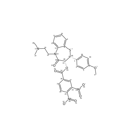 COc1ccc([C@H]2Sc3ccccc3N(CCN(C)C)C(=O)[C@H]2OC(=O)c2ccc([N+](=O)[O-])c([N+](=O)[O-])c2)cc1